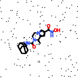 CC1c2cc(C(=O)NO)cn2CCN1C(=O)NC12CC3CC(CC(C3)C1)C2